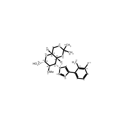 CO[C@@H]1[C@@H](n2cc(-c3cccc(F)c3C)nn2)[C@H]2OC(C)(C)OC[C@H]2O[C@H]1C(=O)O